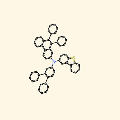 c1ccc(-c2ccc(N(c3ccc4c(c3)c(-c3ccccc3)c(-c3ccccc3)c3ccccc34)c3ccc4sc5ccccc5c4c3)cc2-c2ccccc2)cc1